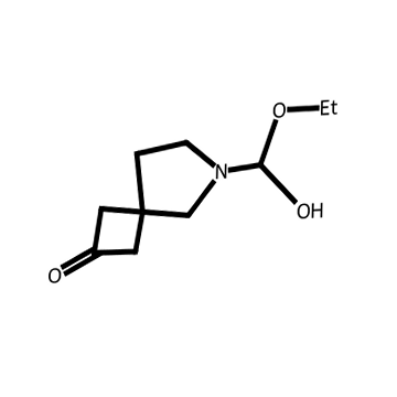 CCOC(O)N1CCC2(CC(=O)C2)C1